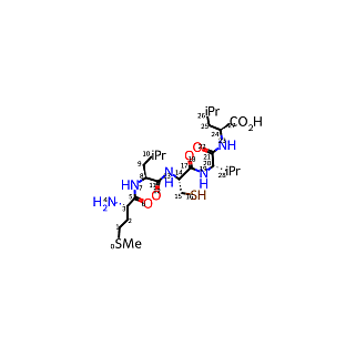 CSCC[C@H](N)C(=O)N[C@@H](CC(C)C)C(=O)N[C@@H](CS)C(=O)N[C@H](C(=O)N[C@@H](CC(C)C)C(=O)O)C(C)C